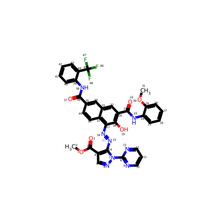 COC(=O)c1cnn(-c2ncccn2)c1/N=N/c1c(O)c(C(=O)Nc2ccccc2OC)cc2cc(C(=O)Nc3ccccc3C(F)(F)F)ccc12